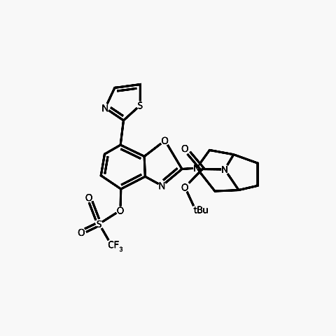 CC(C)(C)OC(=O)N1C2CCC1CN(c1nc3c(OS(=O)(=O)C(F)(F)F)ccc(-c4nccs4)c3o1)C2